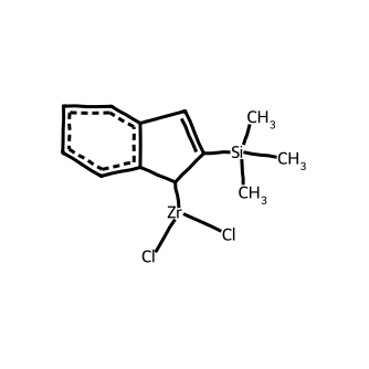 C[Si](C)(C)C1=Cc2ccccc2[CH]1[Zr]([Cl])[Cl]